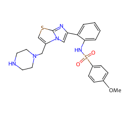 COc1ccc(S(=O)(=O)Nc2ccccc2-c2cn3c(CN4CCNCC4)csc3n2)cc1